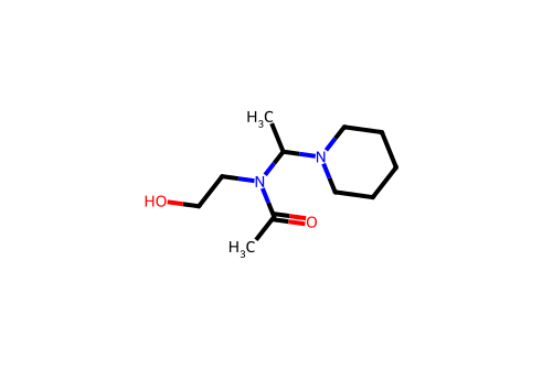 CC(=O)N(CCO)C(C)N1CCCCC1